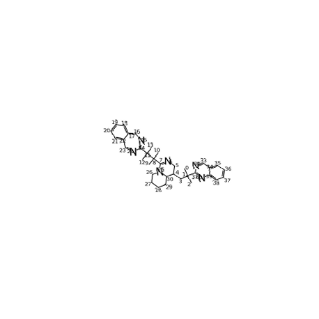 CC(C)(CC1CN=C(C(C)(C)C(C)(C)C2=NCc3ccccc3C=N2)N2CCCCC12)c1ncc2ccccc2n1